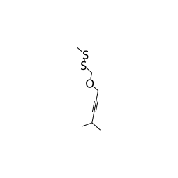 CSSCOCC#CC(C)C